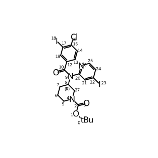 CC(C)(C)OC(=O)N1CCC[C@@H](N(C(=O)c2ccc(Cl)c(I)c2)c2cc(I)ccn2)C1